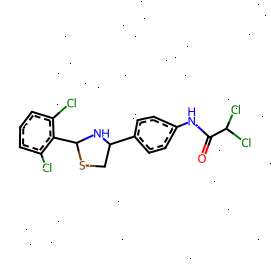 O=C(Nc1ccc(C2CSC(c3c(Cl)cccc3Cl)N2)cc1)C(Cl)Cl